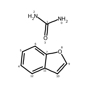 NC(N)=O.c1ccc2occc2c1